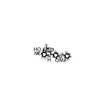 COc1cc(C(Nc2ccc(C#N)cc2)C(=O)NC(C)(C)C(=O)O)ccc1OCc1ccccc1